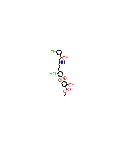 CCOC(=O)c1ccc(S(=O)(=O)c2ccc(CCCNC[C@H](O)c3cccc(Cl)c3)cc2)cc1O.Cl